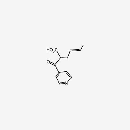 CC=CCC(C(=O)O)C(=O)c1ccncc1